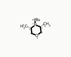 C[C@@H]1COC[C@H](C)N1C(C)(C)C